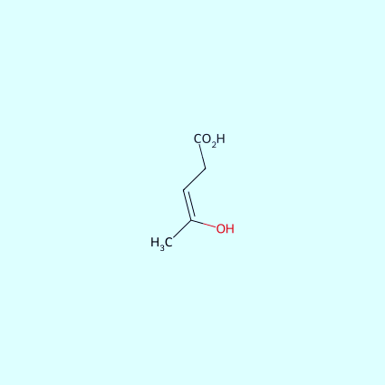 CC(O)=CCC(=O)O